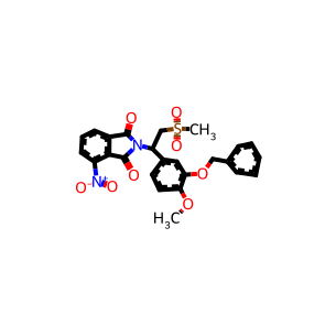 COc1ccc(C(CS(C)(=O)=O)N2C(=O)c3cccc([N+](=O)[O-])c3C2=O)cc1OCc1ccccc1